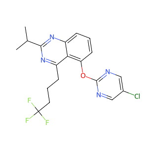 CC(C)c1nc(CCCC(F)(F)F)c2c(Oc3ncc(Cl)cn3)cccc2n1